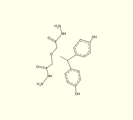 CC(c1ccc(O)cc1)c1ccc(O)cc1.NNC(=O)COCC(=O)NN